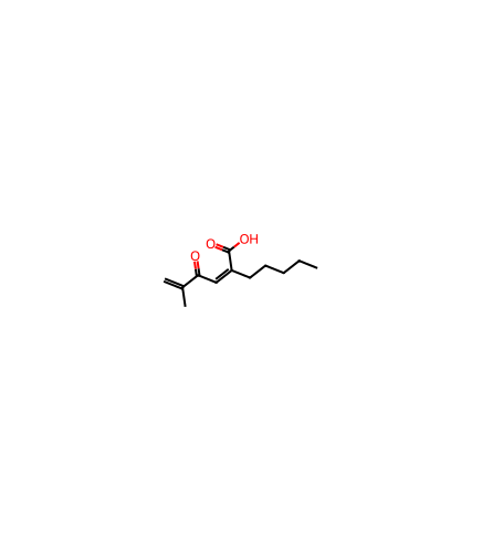 C=C(C)C(=O)C=C(CCCCC)C(=O)O